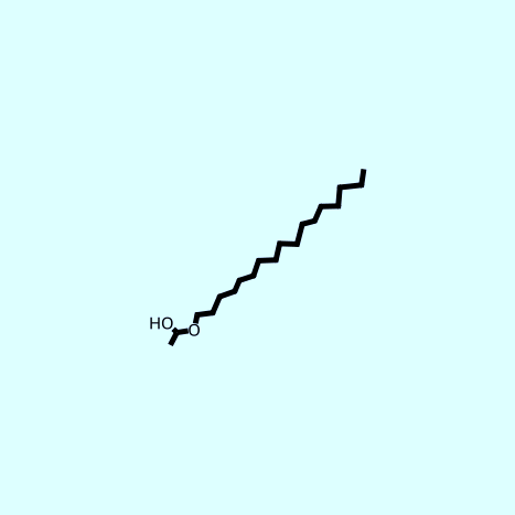 CCCCCCCCCCCCCCCCCOC(C)O